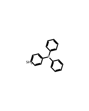 [SiH4].c1ccc(P(c2ccccc2)c2ccccc2)cc1